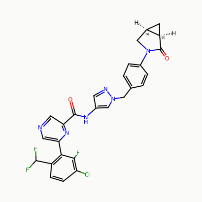 O=C(Nc1cnn(Cc2ccc(N3C[C@H]4C[C@H]4C3=O)cc2)c1)c1cncc(-c2c(C(F)F)ccc(Cl)c2F)n1